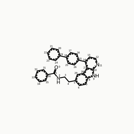 O=C(NCCc1ccc2[nH]c3nccc(-c4ccc(-c5ccccc5)cc4)c3c2c1)c1ccccc1